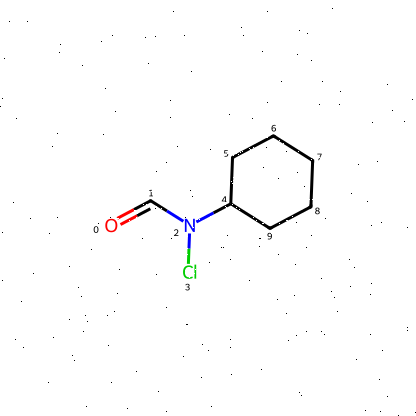 O=CN(Cl)C1CCCCC1